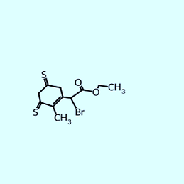 CCOC(=O)C(Br)C1=C(C)C(=S)CC(=S)C1